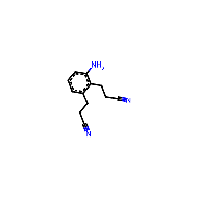 N#CCCc1cc[c]c(N)c1CCC#N